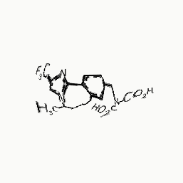 CC1CCc2cc(CN(C(=O)O)C(=O)O)ccc2-c2nc(C(F)(F)F)cn21